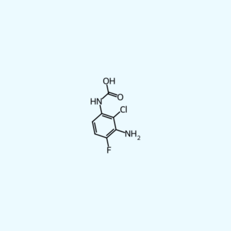 Nc1c(F)ccc(NC(=O)O)c1Cl